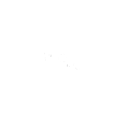 [2H]c1c(CNS(C)(=O)=O)cccc1NC(N)=O